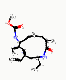 C=C/C1=C\C(=C/C)[C@@H](NC(=O)OC(C)(C)C)CCC[C@@H](C)C(=O)N[C@@H](CC#N)C1